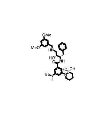 CCNc1cc(C(=O)N[C@@H](Cc2ccccc2)[C@H](O)CNCc2cc(OC)cc(OC)c2)cc(N2CCCCS2(O)O)c1